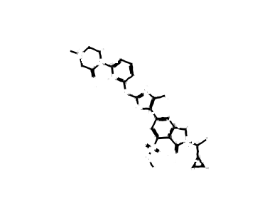 CNS(=O)(=O)c1cc(-c2sc(Nc3cccc(N4CCN(C)CC4=O)n3)nc2C)cc2c1C(=O)N(C(C)C1CC1)C2